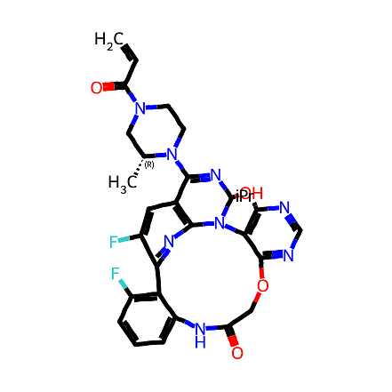 C=CC(=O)N1CCN(C2=NC(O)N3c4nc(c(F)cc42)-c2c(F)cccc2NC(=O)COc2ncnc(C(C)C)c23)[C@H](C)C1